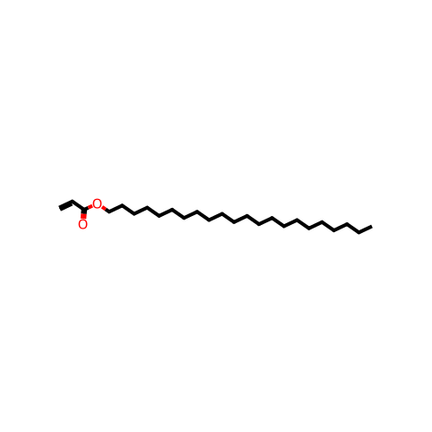 C=CC(=O)OCCCCCCCCCCCCCCCCCCCCCC